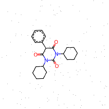 O=C1C(c2ccccc2)C(=O)N(C2CCCCC2)C(=O)N1C1CCCCC1